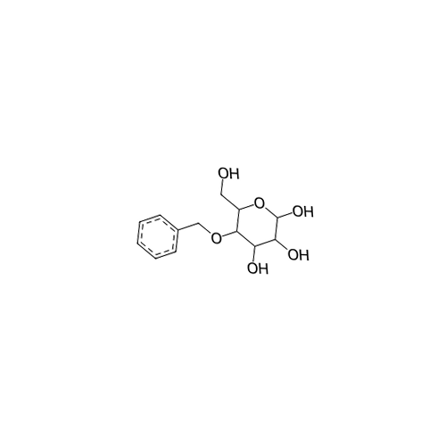 OCC1OC(O)C(O)C(O)C1OCc1ccccc1